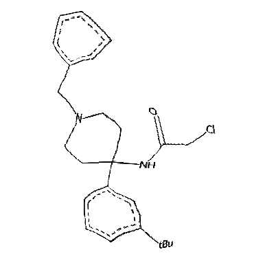 CC(C)(C)c1cccc(C2(NC(=O)CCl)CCN(Cc3ccccc3)CC2)c1